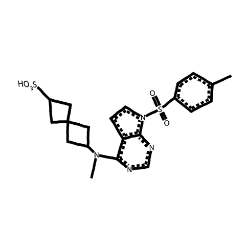 Cc1ccc(S(=O)(=O)n2ccc3c(N(C)C4CC5(C4)CC(S(=O)(=O)O)C5)ncnc32)cc1